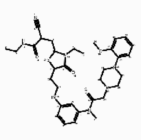 CCNC(=O)C(C#N)CC1SC(CCNc2cccc(N(C)C(=O)CN3CCN(c4ccccc4OC)CC3)c2)C(=O)N1CC